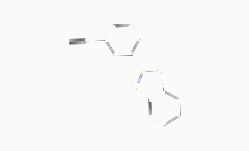 C#Cc1cccc(-c2nc3ccccc3[nH]2)c1